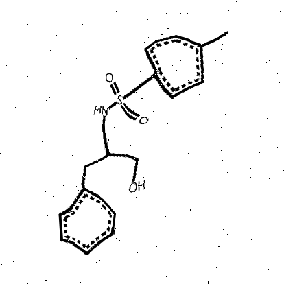 Cc1ccc(S(=O)(=O)NC(CO)Cc2ccccc2)cc1